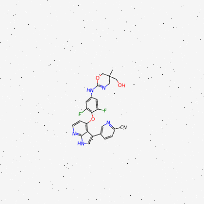 CC1(CO)CN=C(Nc2cc(F)c(Oc3ccnc4[nH]cc(-c5ccc(C#N)nc5)c34)c(F)c2)OC1